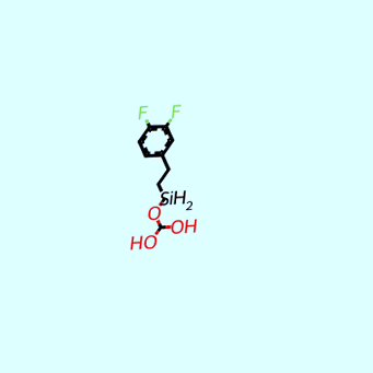 OC(O)O[SiH2]CCc1ccc(F)c(F)c1